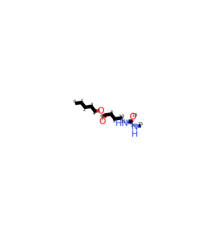 CCCCCOC(=O)CCCNC(=O)NC